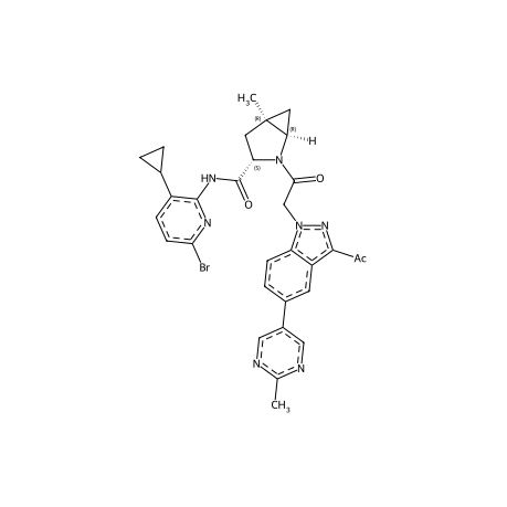 CC(=O)c1nn(CC(=O)N2[C@H](C(=O)Nc3nc(Br)ccc3C3CC3)C[C@@]3(C)C[C@@H]23)c2ccc(-c3cnc(C)nc3)cc12